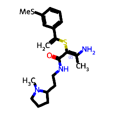 C=C(S/C(C(=O)NCCC1CCCN1C)=C(/C)N)c1cccc(SC)c1